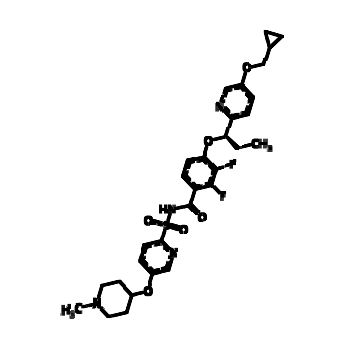 CC[C@@H](Oc1ccc(C(=O)NS(=O)(=O)c2ccc(OC3CCN(C)CC3)cn2)c(F)c1F)c1ccc(OCC2CC2)cn1